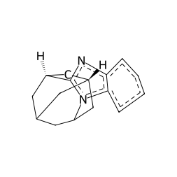 c1ccc2c(c1)nc1n2C2CC3C[C@@H](C2)C[C@@H]1C3